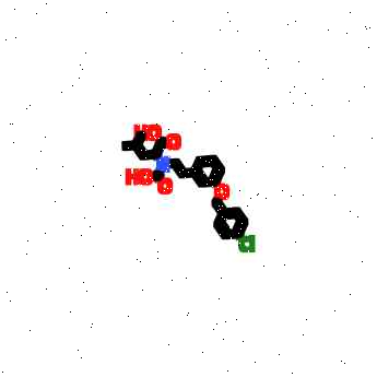 CC(C)CC(C(=O)O)N(CCc1cccc(OCc2ccc(Cl)cc2)c1)C(=O)O